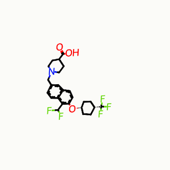 O=C(O)C1CCN(Cc2ccc3c(C(F)F)c(O[C@H]4CC[C@@H](C(F)(F)F)CC4)ccc3c2)CC1